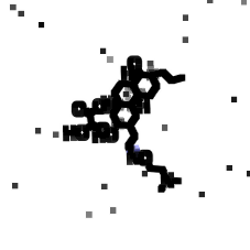 CCC[C@@]1(C)CC[C@H]2[C@@H](CC[C@@H]3C[C@@H](O)C(C/C=N\OCCN(C)C)C[C@@]32C)C1=O.O=C(O)C(=O)O